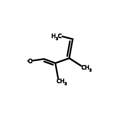 CC=C(C)C(C)=C[O]